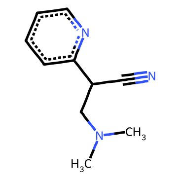 CN(C)CC(C#N)c1ccccn1